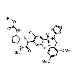 COc1ccc(CN(c2ncns2)S(=O)(=O)c2cc(Cl)c(N(N[C@@H]3CCC[C@H]3NC(=O)OC(C)(C)C)C(=O)OC(C)(C)C)cc2F)c(OC)c1